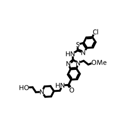 COCCn1c(Nc2nc3ccc(Cl)cc3s2)nc2cc(C(=O)NCC3CCN(CCO)CC3)ccc21